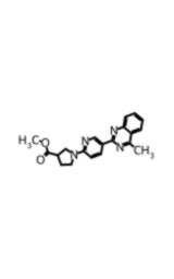 COC(=O)C1CCN(c2ccc(-c3nc(C)c4ccccc4n3)cn2)C1